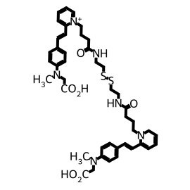 CN(CC(=O)O)c1ccc(/C=C/C2=CC=CCN2CCCC(=O)NCCSSCCNC(=O)CCC[n+]2ccccc2/C=C/c2ccc(N(C)CC(=O)O)cc2)cc1